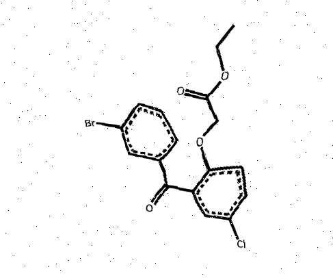 CCOC(=O)COc1ccc(Cl)cc1C(=O)c1cccc(Br)c1